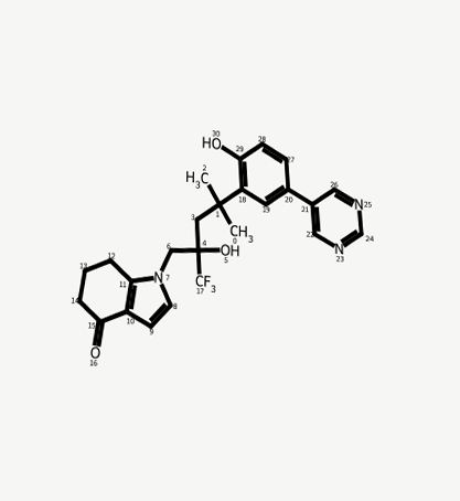 CC(C)(CC(O)(Cn1ccc2c1CCCC2=O)C(F)(F)F)c1cc(-c2cncnc2)ccc1O